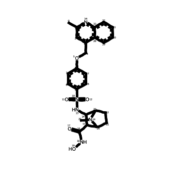 Cc1cc(COc2ccc(S(=O)(=O)NC3C(C(=O)NO)C4CCC3N4C)cc2)c2ccccc2n1